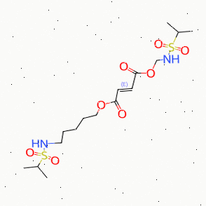 CC(C)S(=O)(=O)NCCCCCOC(=O)/C=C/C(=O)OCNS(=O)(=O)C(C)C